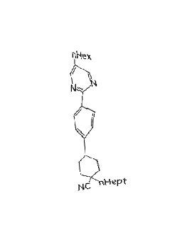 CCCCCCCC1(C#N)CCC(c2ccc(-c3ncc(CCCCCC)cn3)cc2)CC1